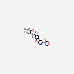 COC(=O)[C@H](CC(C)C)NC(c1ccc2c(c1)oc1ccc(N3CCOCC3=O)cc12)C(F)(F)F